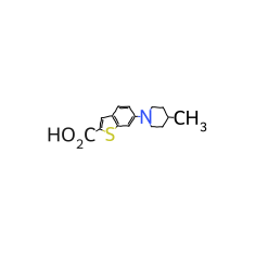 CC1CCN(c2ccc3cc(C(=O)O)sc3c2)CC1